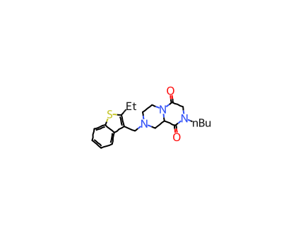 CCCCN1CC(=O)N2CCN(Cc3c(CC)sc4ccccc34)CC2C1=O